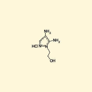 Cl.Nc1cnn(CCO)c1N